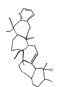 CC1CCC2CCC3(C)C(=CCC4C5(C)Cc6cccnc6C(C)(C)C5CCC43C)C2C1(C)Cl